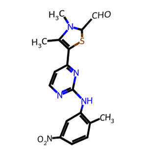 CC1=C(c2ccnc(Nc3cc([N+](=O)[O-])ccc3C)n2)SC(C=O)N1C